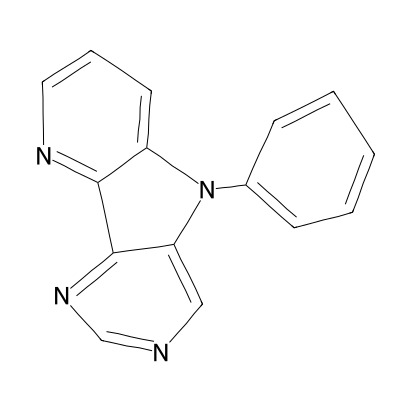 c1ccc(-n2c3cccnc3c3ncncc32)cc1